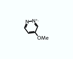 COC1=CC=N[N+]=C1